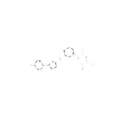 CC(C)(c1ccc(-c2ccc(F)cc2)s1)c1cc([C@@H]2O[C@H](CO)[C@@H](O)[C@H](O)[C@H]2O)ccc1F